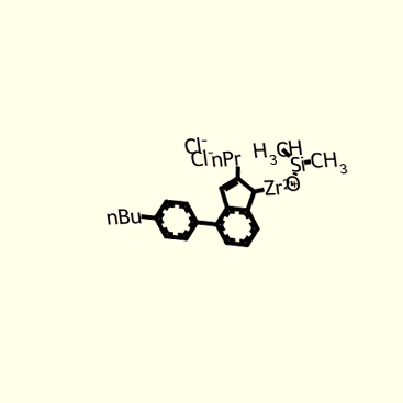 CCCCc1ccc(-c2cccc3c2C=C(CCC)[CH]3[Zr+2][O][SiH](C)C)cc1.[Cl-].[Cl-]